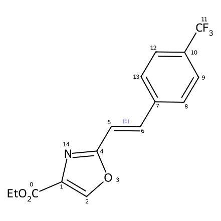 CCOC(=O)c1coc(/C=C/c2ccc(C(F)(F)F)cc2)n1